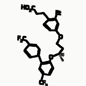 CCc1cc(OCC[C@H](C)Oc2ccc(C(F)(F)F)cc2-c2ccc(C(F)(F)F)cc2)ccc1CCC(=O)O